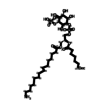 CCCCCCCCCCCCCCCC(=O)O[C@H](COC(=O)CCCCCCCCCCCCCCN)COP(=O)(O)OC1C(O)[C@H](OP(=O)(O)O)C(O)[C@H](O)[C@@H]1O